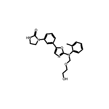 Cc1ccccc1N(COCCO)c1ncc(-c2cccc(N3CCNC3=O)c2)o1